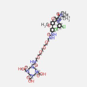 COc1cc2c(cc1-c1ccc(NC(=O)NCCOCCOCCOCCOCCNC(=O)CN3CCN(CC(=O)O)CCN(CC(=O)O)CCN(CC(=O)O)CC3)cc1)-c1c(c(C(=O)N(C)C(C)(C)C)nn1-c1cc(Cl)cc(Cl)c1)CO2